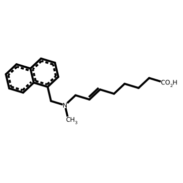 CN(C/C=C/CCCCC(=O)O)Cc1cccc2ccccc12